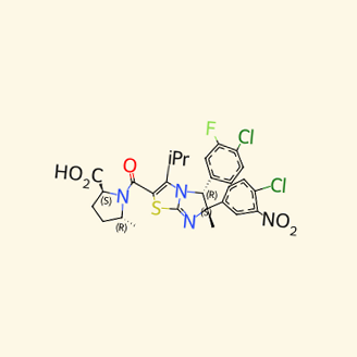 CC(C)C1=C(C(=O)N2[C@H](C)CC[C@H]2C(=O)O)SC2=N[C@@](C)(c3ccc(Cl)c([N+](=O)[O-])c3)[C@@H](c3ccc(Cl)c(F)c3)N21